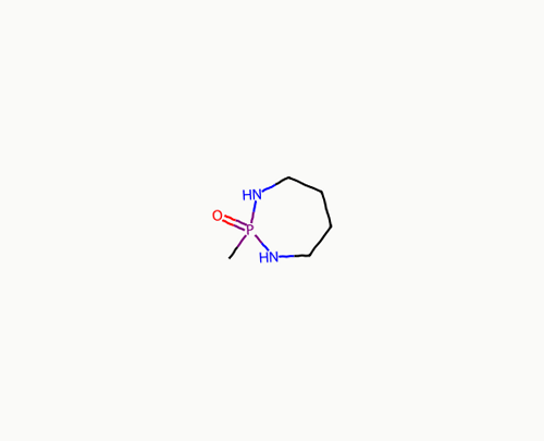 CP1(=O)NCCCCN1